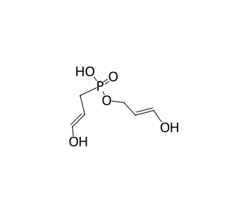 O=P(O)(CC=CO)OCC=CO